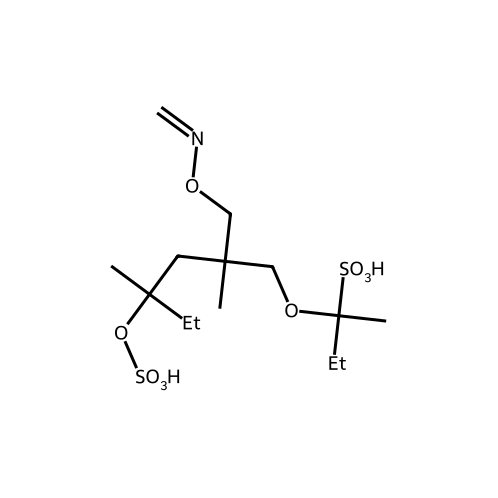 C=NOCC(C)(COC(C)(CC)S(=O)(=O)O)CC(C)(CC)OS(=O)(=O)O